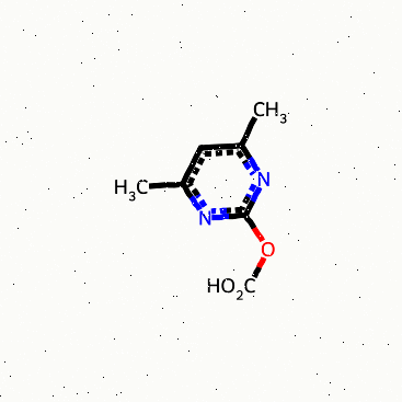 Cc1cc(C)nc(OC(=O)O)n1